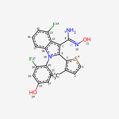 Cc1ccsc1-c1c(/C(N)=N/O)c2c(F)cccc2n1-c1ccc(O)cc1F